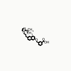 CN(C)c1nccn1CCCc1ccc2cc(OCc3cccc(C(=O)O)c3)ccc2c1